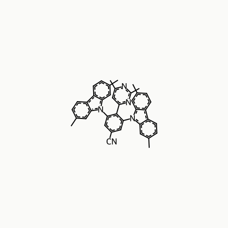 Cc1ccc2c3ccc(C)cc3n(-c3cc(C#N)cc(-n4c5cc(C)ccc5c5ccc(C)cc54)c3-c3cc(C)nc(C)n3)c2c1